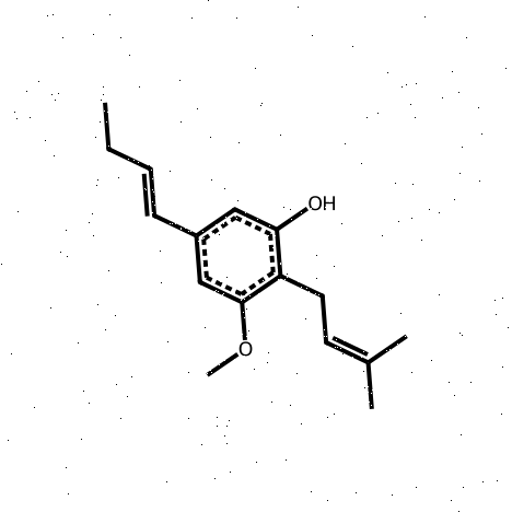 CC/C=C/c1cc(O)c(CC=C(C)C)c(OC)c1